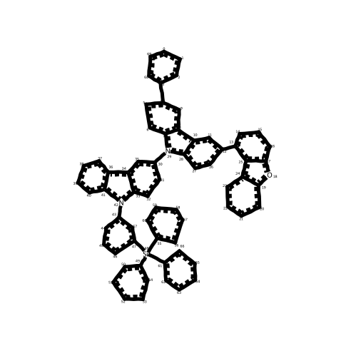 c1ccc(-c2ccc3c(c2)c2cc(-c4cccc5oc6ccccc6c45)ccc2n3-c2ccc3c(c2)c2ccccc2n3-c2cccc([Si](c3ccccc3)(c3ccccc3)c3ccccc3)c2)cc1